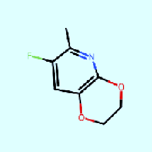 Cc1nc2c(cc1F)OCCO2